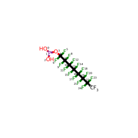 OP(O)OC(F)(F)C(F)(F)C(F)(F)C(F)(F)C(F)(F)C(F)(F)C(F)(F)C(F)(F)F